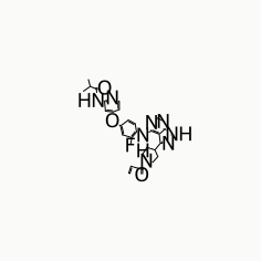 C=CC(=O)N1CCC(c2n[nH]c3ncnc(Nc4ccc(Oc5ccnc(NC(=O)C(C)C)c5)cc4F)c23)CC1